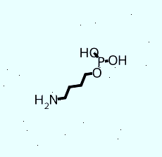 NCCCCOP(O)O